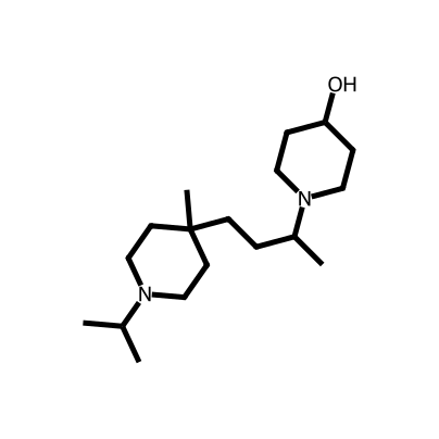 CC(C)N1CCC(C)(CCC(C)N2CCC(O)CC2)CC1